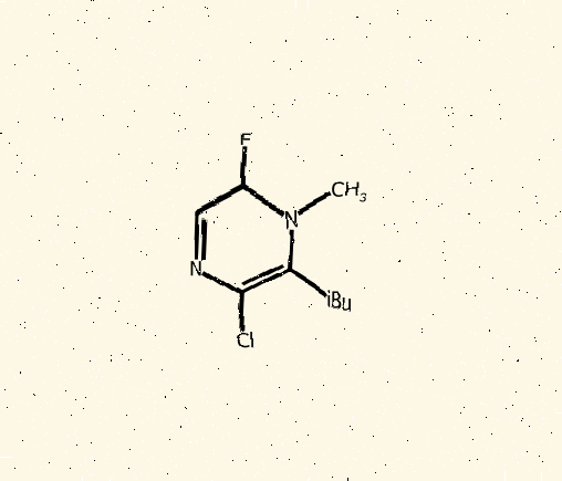 CCC(C)C1=C(Cl)N=CC(F)N1C